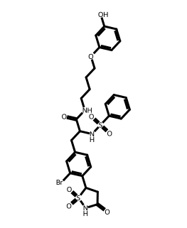 O=C1CC(c2ccc(CC(NS(=O)(=O)c3ccccc3)C(=O)NCCCCOc3cccc(O)c3)cc2Br)S(=O)(=O)N1